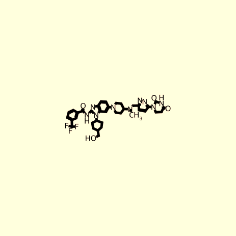 CN(Cc1ccc(N2CCC(=O)NC2=O)nn1)C1CCN(c2ccc3nc(NC(=O)c4cccc(C(F)(F)F)c4)n(C4CCC(CO)CC4)c3c2)CC1